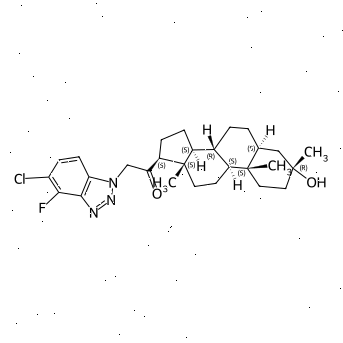 C[C@@]1(O)CC[C@@]2(C)[C@@H](CC[C@@H]3[C@@H]2CC[C@]2(C)[C@@H](C(=O)Cn4nnc5c(F)c(Cl)ccc54)CC[C@@H]32)C1